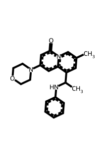 Cc1cc(C(C)Nc2ccccc2)c2cc(N3CCOCC3)cc(=O)n2c1